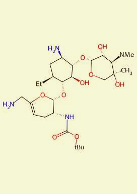 CC[C@H]1C[C@@H](N)[C@H](O[C@H]2OC[C@](C)(O)[C@H](NC)[C@H]2O)[C@@H](O)[C@@H]1O[C@H]1OC(CN)=CC[C@H]1NC(=O)OC(C)(C)C